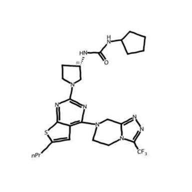 CCCc1cc2c(N3CCn4c(nnc4C(F)(F)F)C3)nc(N3CC[C@H](NC(=O)NC4CCCC4)C3)nc2s1